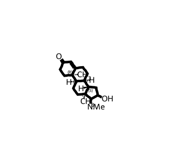 CNC1C(O)C[C@H]2[C@@H]3CCC4=CC(=O)CC[C@]4(C)[C@@H]3CC[C@]12C